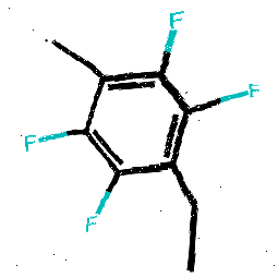 [CH2]c1c(F)c(F)c(CC)c(F)c1F